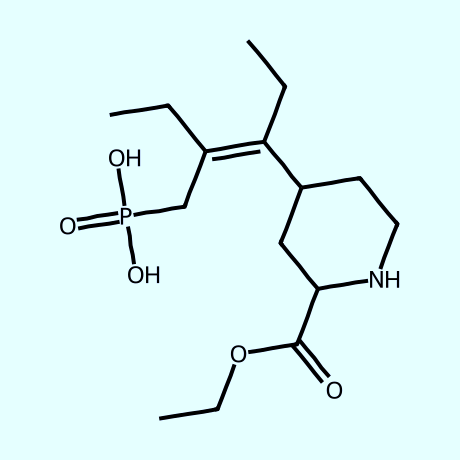 CCOC(=O)C1CC(C(CC)=C(CC)CP(=O)(O)O)CCN1